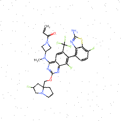 C=CC(=O)N1CC(N(C)c2nc(OCC34CCCN3CC(F)C4)nc3c(F)c(-c4ccc(F)c5sc(N)nc45)c(C(F)(F)F)cc23)C1